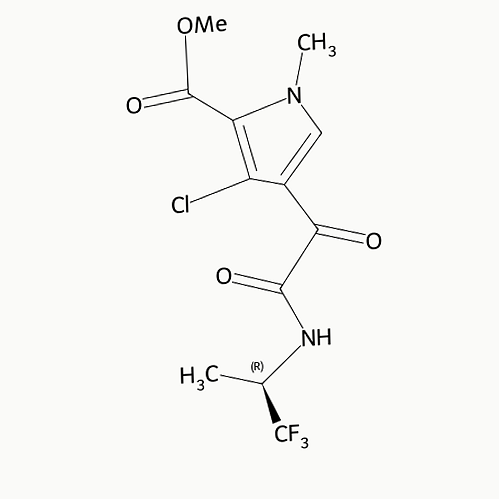 COC(=O)c1c(Cl)c(C(=O)C(=O)N[C@H](C)C(F)(F)F)cn1C